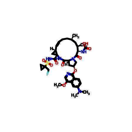 COc1cnc(O[C@@H]2C[C@H]3C(=O)N[C@]4(C(=O)NS(=O)(=O)C5(CF)CC5)C[C@H]4/C=C\CC[C@H](C)C[C@@H](C)[C@H](NC(=O)O)C(=O)N3C2)c2ccc(N(C)C)cc12